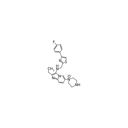 CCc1nc2ccc([N+]3([O-])CCNCC3)cn2c1NCc1nc(-c2ccc(F)cc2)cs1